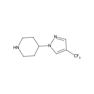 FC(F)(F)c1cnn(C2CCNCC2)c1